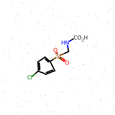 O=C(O)NCS(=O)(=O)c1ccc(Cl)cc1